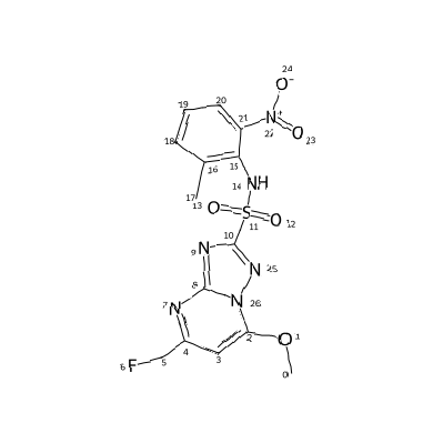 COc1cc(CF)nc2nc(S(=O)(=O)Nc3c(C)cccc3[N+](=O)[O-])nn12